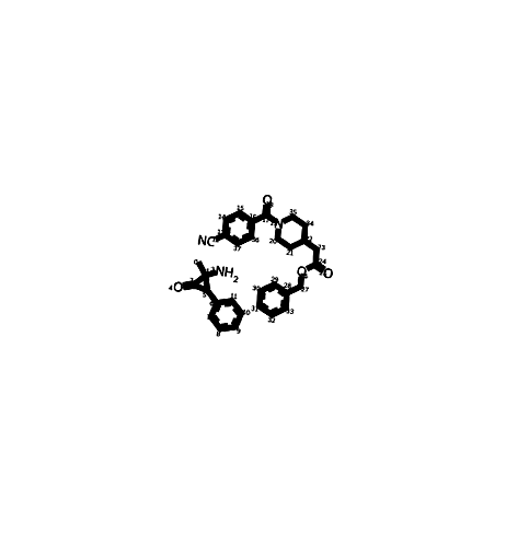 CC1(N)C(=O)C1c1ccccc1.N#Cc1ccc(C(=O)N2CCC(CC(=O)OCc3ccccc3)CC2)cc1